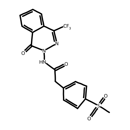 CS(=O)(=O)c1ccc(CC(=O)Nn2nc(C(F)(F)F)c3ccccc3c2=O)cc1